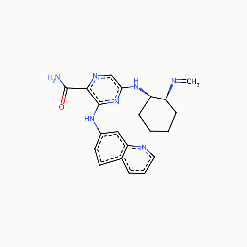 C=N[C@H]1CCCC[C@H]1Nc1cnc(C(N)=O)c(Nc2ccc3cccnc3c2)n1